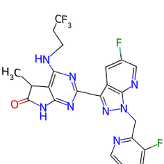 CC1C(=O)Nc2nc(-c3nn(Cc4ncccc4F)c4ncc(F)cc34)nc(NCCC(F)(F)F)c21